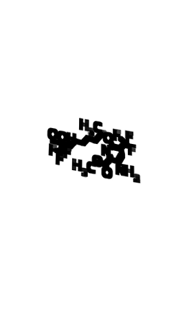 COC(=O)c1nc(O[C@H](C)CCCCC[C@@](O)(C=O)C(F)(F)F)c(C(F)(F)F)cc1N